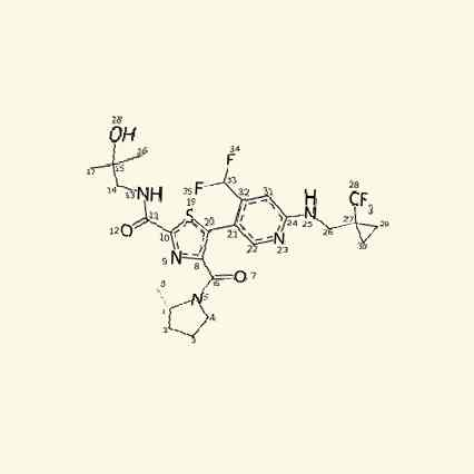 C[C@H]1CCCN1C(=O)c1nc(C(=O)NCC(C)(C)O)sc1-c1cnc(NCC2(C(F)(F)F)CC2)cc1C(F)F